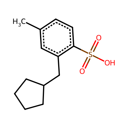 Cc1ccc(S(=O)(=O)O)c(CC2CCCC2)c1